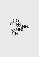 NC(=O)c1nn(-c2c(Cl)cccc2Cl)cc1Nc1cnc2cccnn12